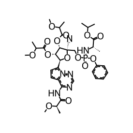 COC(C)C(=O)O[C@H]1[C@H](c2ccc3c(NC(=O)[C@@H](C)OC)ncnn23)O[C@](C#N)(CO[P@@](=O)(N[C@@H](C)C(=O)OC(C)C)Oc2ccccc2)[C@H]1OC(=O)C(C)OC